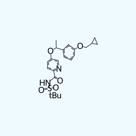 CC(Oc1ccc(C(=O)NS(=O)(=O)C(C)(C)C)nc1)c1cccc(OCC2CC2)c1